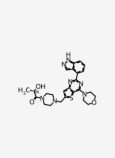 C[C@@H](O)C(=O)N1CCN(Cc2cc3nc(-c4cccc5[nH]ncc45)nc(N4CCOCC4)c3s2)CC1